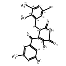 [C-]#[N+]c1cc(C)cc(C(=O)c2c(C(C)C)c(=O)[nH]c(=O)n2Cc2cc(F)nc(N)c2O)c1